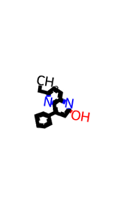 CCc1ccc2nc(O)cc(-c3ccccc3)c2n1